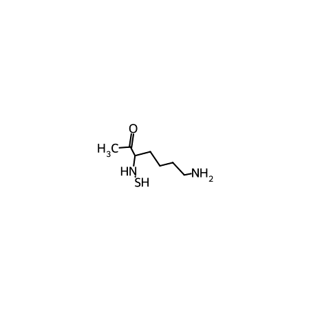 CC(=O)C(CCCCN)NS